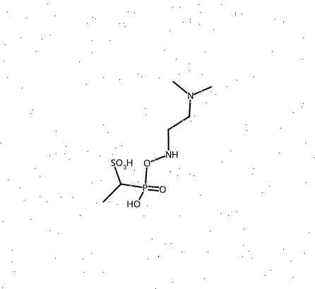 CC(P(=O)(O)ONCCN(C)C)S(=O)(=O)O